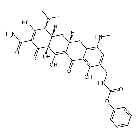 CNc1cc(CNC(=O)Oc2ccccc2)c(O)c2c1C[C@H]1C[C@H]3[C@H](N(C)C)C(O)=C(C(N)=O)C(=O)[C@@]3(O)C(O)=C1C2=O